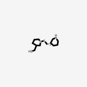 SCC1CCCN(SC[C@H]2CCCNC2)C1